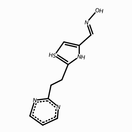 O/N=C/C1=C[SH]=C(CCc2ncccn2)N1